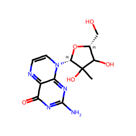 CC1(O)C(O)[C@@H](CO)O[C@H]1n1ccnc2c(=O)nc(N)nc1-2